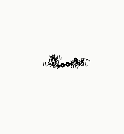 COC(=O)N[C@H](C(=O)N1C[C@@H](SC)C[C@H]1c1nc(-c2ccc(-c3ccc(-c4nc([C@@H]5CCCN5C(=O)[C@@H](NC(=O)OC)C(C)C)[nH]c4Cl)cc3)cc2)c[nH]1)C(C)C